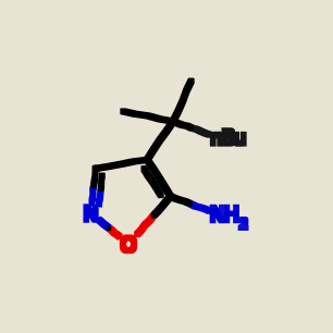 CCCCC(C)(C)c1cnoc1N